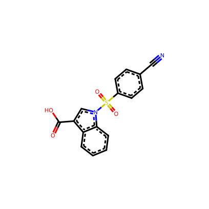 N#Cc1ccc(S(=O)(=O)n2cc(C(=O)O)c3ccccc32)cc1